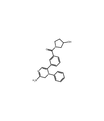 NC1=NC=C(c2cccc(C(=O)N3CCC(O)C3)c2)N(c2ccccc2)C1